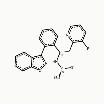 CC(C)(C)[S@+]([O-])N[C@@H](Cc1ncccc1F)c1ccccc1-c1noc2ccccc12